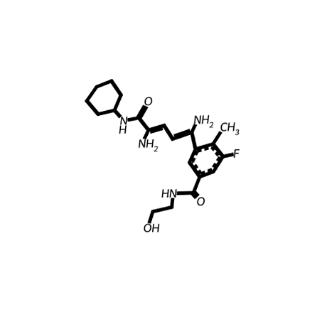 Cc1c(F)cc(C(=O)NCCO)cc1/C(N)=C/C=C(\N)C(=O)NC1CCCCC1